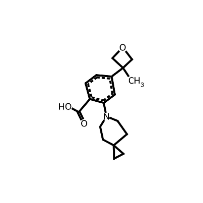 CC1(c2ccc(C(=O)O)c(N3CCC4(CC3)CC4)c2)COC1